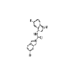 O=C(Nc1c[nH]c2ccc(F)cc12)N1Cc2ccc(Br)cc2C1